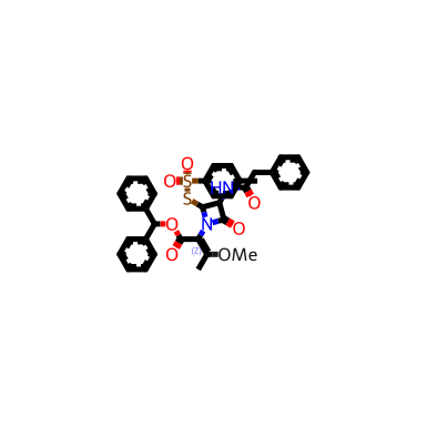 CO/C(C)=C(/C(=O)OC(c1ccccc1)c1ccccc1)N1C(=O)C(NC(=O)Cc2ccccc2)C1SS(=O)(=O)c1ccc(C)cc1